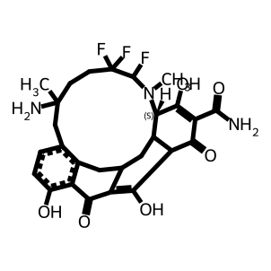 CN1C(F)C(F)(F)CCC(C)(N)Cc2ccc(O)c3c2CC2CC4C(C(=O)C(C(N)=O)=C(O)[C@H]41)C(O)=C2C3=O